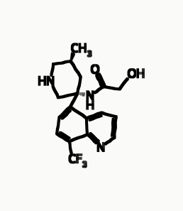 C[C@@H]1CNC[C@](NC(=O)CO)(c2ccc(C(F)(F)F)c3ncccc23)C1